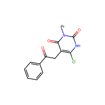 CC(C)n1c(=O)[nH]c(Cl)c(CC(=O)c2ccccc2)c1=O